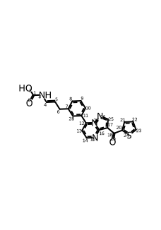 O=C(O)NC=CCc1cccc(-c2ccnc3c(C(=O)c4cccs4)cnn23)c1